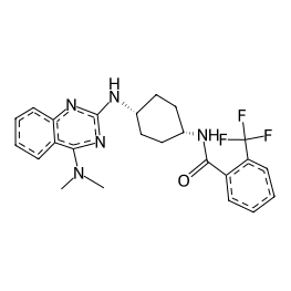 CN(C)c1nc(N[C@H]2CC[C@@H](NC(=O)c3ccccc3C(F)(F)F)CC2)nc2ccccc12